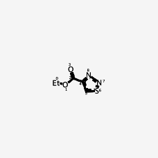 CCOC(=O)c1csnn1